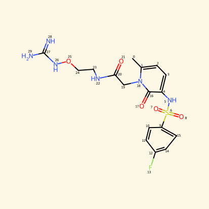 Cc1ccc(NS(=O)(=O)c2ccc(F)cc2)c(=O)n1CC(=O)NCCONC(=N)N